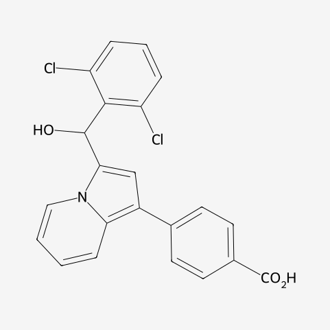 O=C(O)c1ccc(-c2cc(C(O)c3c(Cl)cccc3Cl)n3ccccc23)cc1